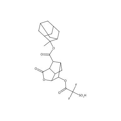 CC1(OC(=O)C2C3CC4C(OC(=O)C42)C3OC(=O)C(F)(F)S(=O)(=O)O)C2CC3CC(C2)CC1C3